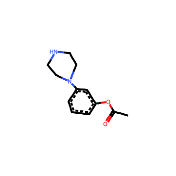 CC(=O)Oc1cccc(N2CCNCC2)c1